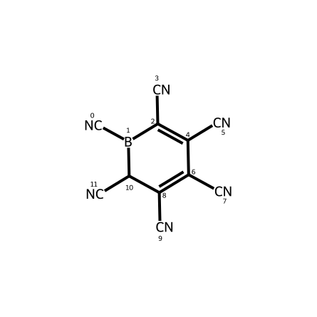 N#CB1C(C#N)=C(C#N)C(C#N)=C(C#N)C1C#N